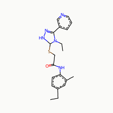 CCc1ccc(NC(=O)CSC2NN=C(c3cccnc3)N2CC)c(C)c1